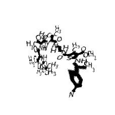 CCC(CNc1sc(C(=O)NCCNC(=O)[C@@H](NC(=O)[C@@H](NC(=O)[C@@H](NC(=O)OC(C)(C)C)C(C)C)C(C)C)C(C)C)c(C)c1C(=O)OC)c1ccc(C#N)cc1